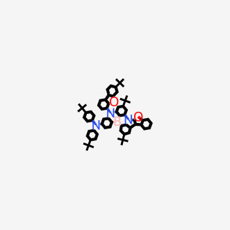 CC(C)(C)c1ccc(N(c2ccc(C(C)(C)C)cc2)c2ccc3c(c2)N(c2cccc4c2oc2cc(C(C)(C)C)ccc24)c2cc(C(C)(C)C)cc4c2B3c2cc(C(C)(C)C)cc3c5c6ccccc6oc5n-4c23)cc1